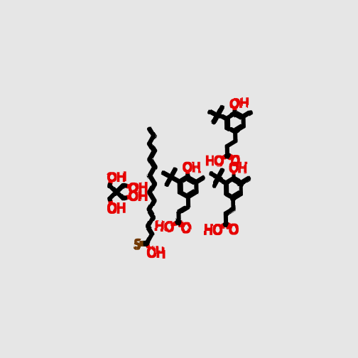 CCCCCCCCCCCCCCC(O)=S.Cc1cc(CCC(=O)O)cc(C(C)(C)C)c1O.Cc1cc(CCC(=O)O)cc(C(C)(C)C)c1O.Cc1cc(CCC(=O)O)cc(C(C)(C)C)c1O.OCC(CO)(CO)CO